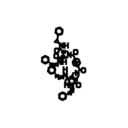 O=C(NC1CC1c1ccccc1)[C@@H]1CN(C(=O)C23CCC(C(=O)N4C[C@@H](C(=O)N[C@H]5C[C@@H]5c5ccccc5)[C@H](C(=O)N[C@H]5C[C@@H]5c5ccccc5)C4)(CC2)CC3)C[C@H]1C(=O)N[C@H]1C[C@@H]1c1ccccc1